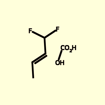 CC=CC(F)F.O=C(O)O